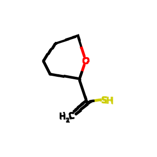 C=C(S)C1CCCCO1